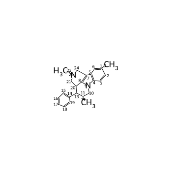 Cc1ccc2c(c1)c1c3n2CC(C)C(c2ccccc2)C3CN(C)C1